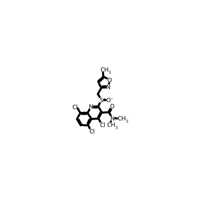 Cc1cc(C[S+]([O-])c2nc3c(Cl)ccc(Cl)c3c(Cl)c2C(=O)N(C)C)no1